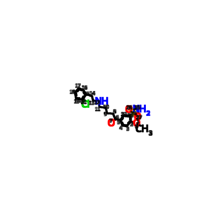 COc1ccc(C(=O)CCCCNCCc2ccccc2Cl)cc1S(N)(=O)=O